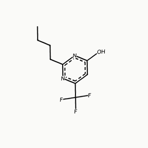 CCCCc1nc(O)cc(C(F)(F)F)n1